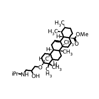 COC(=O)[C@]12CC[C@@H](C)[C@H](C)[C@H]1C1=CC[C@@H]3[C@@]4(C)CC[C@H](OCC(O)CNC(C)C)C(C)(C)[C@@H]4CC[C@@]3(C)[C@]1(C)CC2